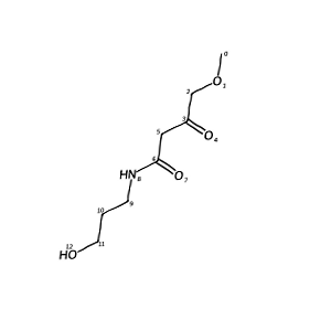 COCC(=O)CC(=O)NCCCO